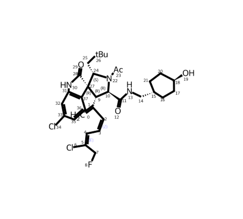 C=C(/C=C\C=C(\Cl)CF)[C@H]1[C@H](C(=O)NC[C@H]2CC[C@H](O)CC2)N(C(C)=O)[C@@H](CC(C)(C)C)[C@@]12C(=O)Nc1cc(Cl)ccc12